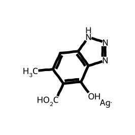 Cc1cc2[nH]nnc2c(O)c1C(=O)O.[Ag]